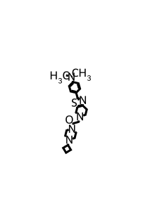 CN(C)c1ccc(-c2nc3c(s2)CN(CC(=O)N2CCN(C4CCC4)CC2)CC3)cc1